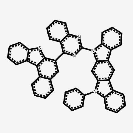 c1ccc(-n2c3ccccc3c3cc4c5ccccc5n(-c5nc(-c6cc7ccccc7c7c6sc6ccccc67)c6ccccc6n5)c4cc32)cc1